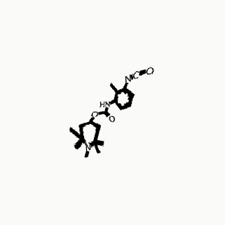 Cc1c(N=C=O)cccc1NC(=O)OC1CC(C)(C)N(C)C(C)(C)C1